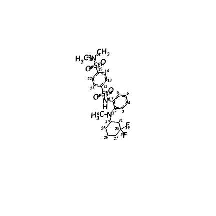 CN(c1ccccc1NS(=O)(=O)c1ccc(S(=O)(=O)N(C)C)cc1)C1CCCC(F)(F)C1